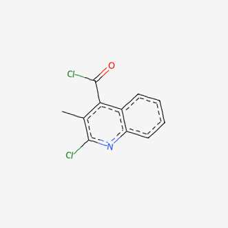 Cc1c(Cl)nc2ccccc2c1C(=O)Cl